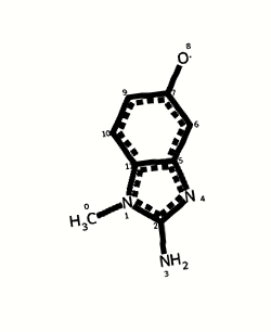 Cn1c(N)nc2cc([O])ccc21